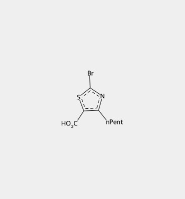 CCCCCc1nc(Br)sc1C(=O)O